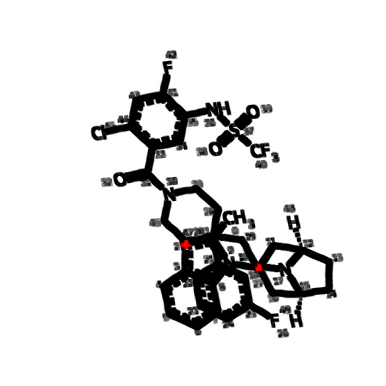 Cc1nc2ccccc2n1C1C[C@H]2CC[C@@H](C1)N2CCC1(c2cccc(F)c2)CCN(C(=O)c2cc(NS(=O)(=O)C(F)(F)F)c(F)cc2Cl)CC1